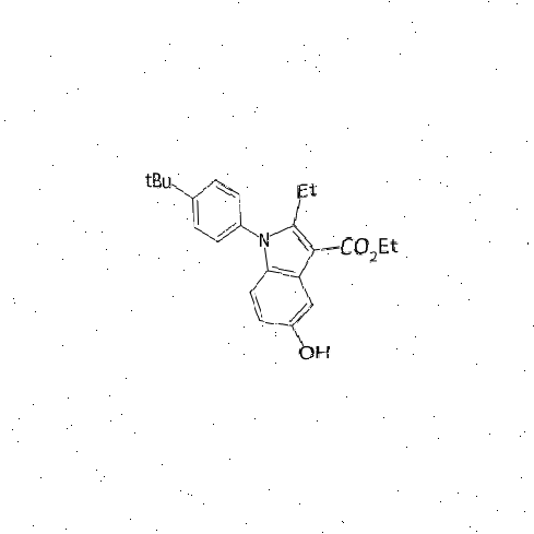 CCOC(=O)c1c(CC)n(-c2ccc(C(C)(C)C)cc2)c2ccc(O)cc12